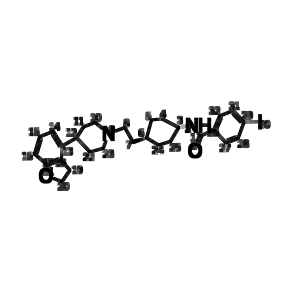 O=C(N[C@H]1CC[C@H](CCN2CCC(c3cccc4c3CCO4)CC2)CC1)c1ccc(I)cc1